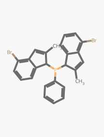 CC1=Cc2c(Br)cccc2C1P(c1ccccc1)C1C(C)=Cc2c(Br)cccc21